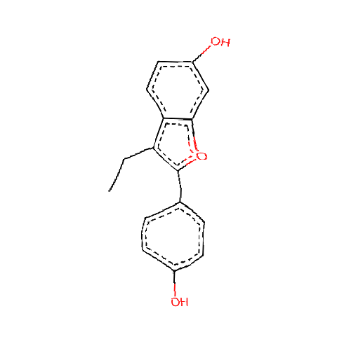 CCc1c(-c2ccc(O)cc2)oc2cc(O)ccc12